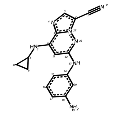 N#Cc1cnc2c(NC3CC3)cc(Nc3cccc(N)c3)nn12